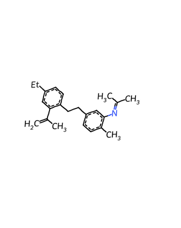 C=C(C)c1cc(CC)ccc1CCc1ccc(C)c(N=C(C)C)c1